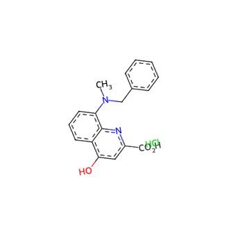 CN(Cc1ccccc1)c1cccc2c(O)cc(C(=O)O)nc12.Cl